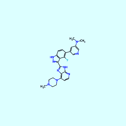 CN1CCN(c2ccnc3[nH]c(-c4n[nH]c5ccc(-c6cncc(N(C)C)c6)c(F)c45)nc23)CC1